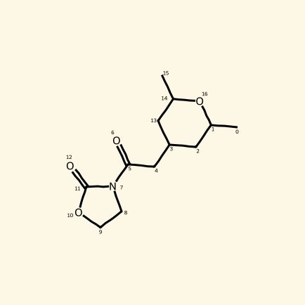 CC1CC(CC(=O)N2CCOC2=O)CC(C)O1